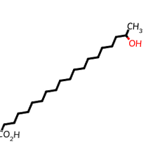 CC(O)CCCCCCCCCCCCCCCCCC(=O)O